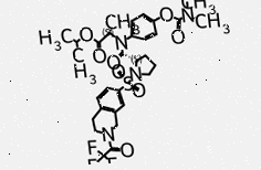 CC(C)OC(=O)[C@H](C)N(C(=O)[C@@H]1CCCN1S(=O)(=O)c1ccc2c(c1)CN(C(=O)C(F)(F)F)CC2)c1ccc(OC(=O)N(C)C)cc1